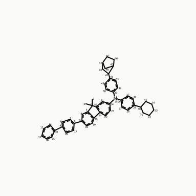 CC1(C)c2cc(-c3ccc(-c4ccccc4)cc3)ccc2-c2ccc(N(c3ccc(C4CCCCC4)cc3)c3ccc(C4CC5CCC4C5)cc3)cc21